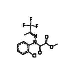 COC(=O)C(=O)N(/N=C(\C)C(F)(F)F)c1ccccc1Cl